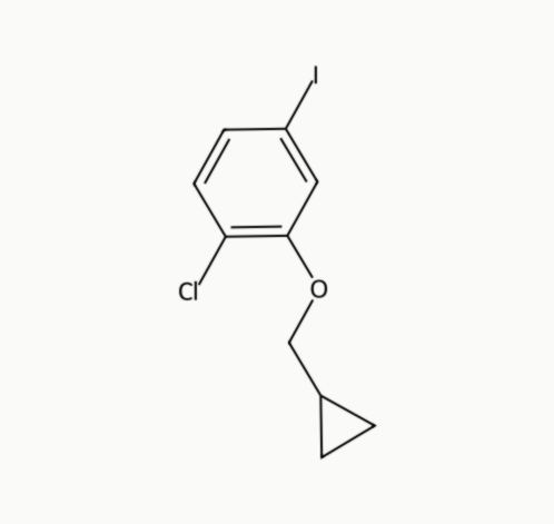 Clc1ccc(I)cc1OCC1CC1